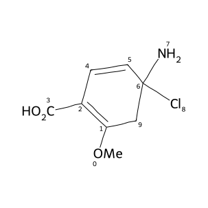 COC1=C(C(=O)O)C=CC(N)(Cl)C1